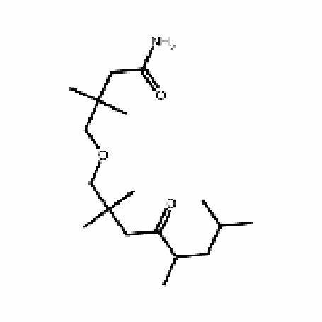 CC(C)CC(C)C(=O)CC(C)(C)COCC(C)(C)CC(N)=O